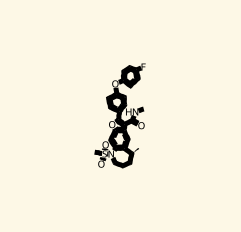 CNC(=O)c1c(-c2ccc(Oc3ccc(F)cc3)cc2)oc2cc3c(cc12)[C@H](C)CCCN3S(C)(=O)=O